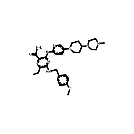 CCc1nc(C(N)=O)c(Nc2ccc(N3CCC(N4CCN(C)CC4)CC3)cn2)nc1NCc1ccc(OC)cc1